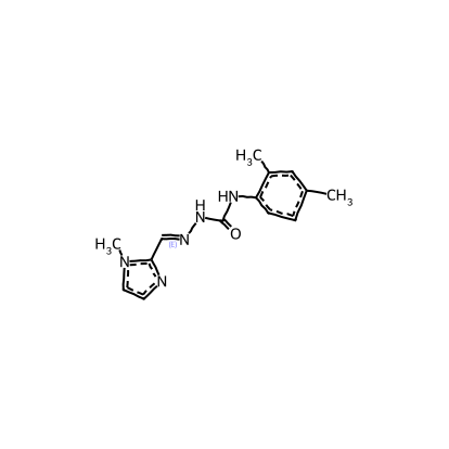 Cc1ccc(NC(=O)N/N=C/c2nccn2C)c(C)c1